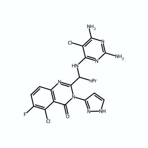 CCCC(Nc1nc(N)nc(N)c1Cl)c1nc2ccc(F)c(Cl)c2c(=O)n1-c1cc[nH]n1